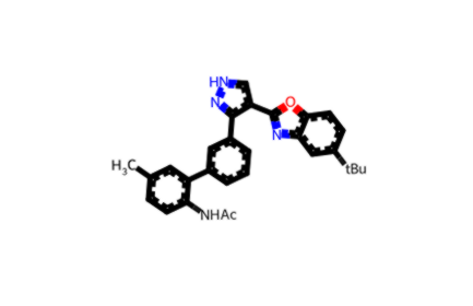 CC(=O)Nc1ccc(C)cc1-c1cccc(-c2n[nH]cc2-c2nc3cc(C(C)(C)C)ccc3o2)c1